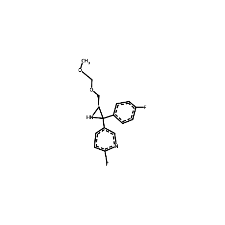 COCOC[C@@H]1NC1(c1ccc(F)cc1)c1ccc(F)nc1